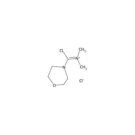 C[N+](C)=C(Cl)N1CCOCC1.[Cl-]